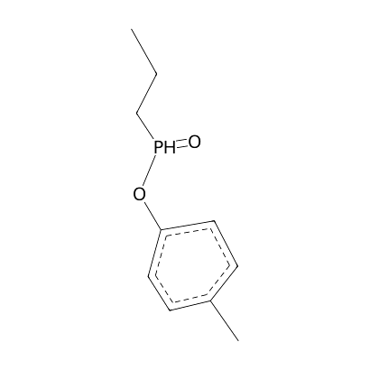 CCC[PH](=O)Oc1ccc(C)cc1